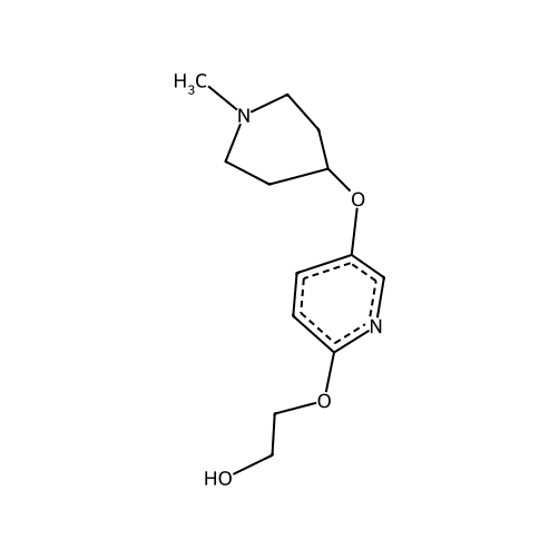 CN1CCC(Oc2ccc(OCCO)nc2)CC1